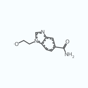 NC(=O)c1ccc2c(c1)ncn2CC[O]